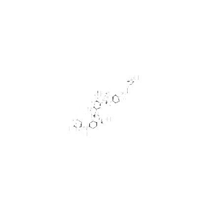 Nc1nc(N)c(/N=N/c2ccc(S(=O)(=O)CCOS(=O)(=O)O)cc2S(=O)(=O)O)cc1/N=N/c1cc(Nc2cc(F)nc(F)n2)ccc1S(=O)(=O)O